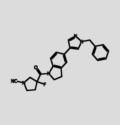 N#CN1CCC(F)(C(=O)N2CCc3cc(-c4cnn(Cc5ccccc5)c4)ccc32)C1